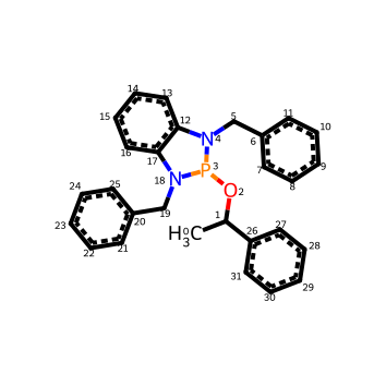 CC(OP1N(Cc2ccccc2)c2ccccc2N1Cc1ccccc1)c1ccccc1